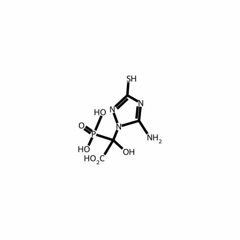 Nc1nc(S)nn1C(O)(C(=O)O)P(=O)(O)O